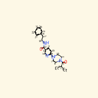 CCC(CC)C(=O)N1CCN(c2ccc(C(=O)NCCc3ccccc3)cn2)CC1